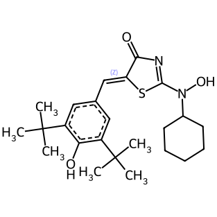 CC(C)(C)c1cc(/C=C2\SC(N(O)C3CCCCC3)=NC2=O)cc(C(C)(C)C)c1O